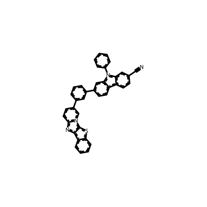 N#Cc1ccc2c3ccc(-c4cccc(-c5ccc6nc7c8ccccc8sc7n6c5)c4)cc3n(-c3ccccc3)c2c1